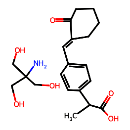 CC(C(=O)O)c1ccc(/C=C2\CCCCC2=O)cc1.NC(CO)(CO)CO